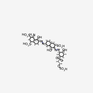 Nc1c(S(=O)(=O)O)cc(S(=O)(=O)O)c2ccc(/N=N/c3ccc4cc(S(=O)(=O)O)c(/N=N/c5cc(S(=O)(=O)CCOS(=O)(=O)O)ccc5O)c(O)c4c3)c(O)c12